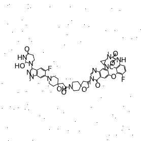 CN(C1CC1)S(=O)(=O)Nc1ccc(F)c(Oc2ccc3ncn([C@H]4COC5(CCN(C(=O)CC6(O)CCN(c7cc8c(cc7F)c(N7CCC(=O)NC7O)nn8C)CC6)CC5)C4)c(=O)c3c2)c1C#N